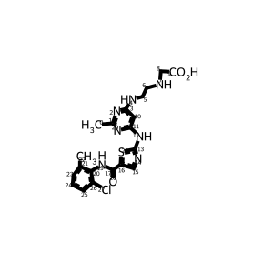 Cc1nc(NCCNCC(=O)O)cc(Nc2ncc(C(=O)Nc3c(C)cccc3Cl)s2)n1